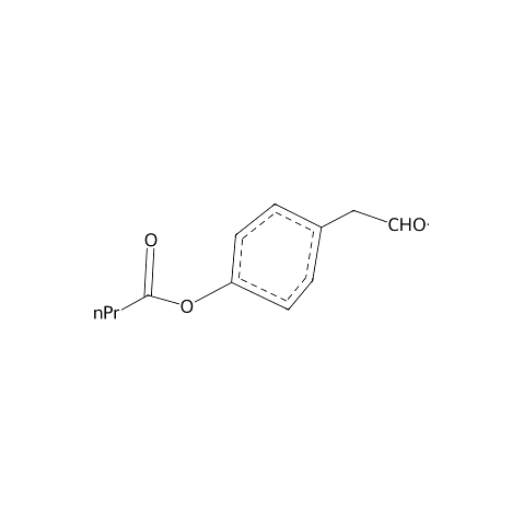 CCCC(=O)Oc1ccc(C[C]=O)cc1